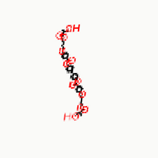 C=C(CO)C(=O)OCCCCOc1ccc(C(=O)Oc2ccc(-c3ccc(OC(=O)c4ccc(OCCCCOC(=O)C(=C)CO)cc4)cc3)cc2)cc1